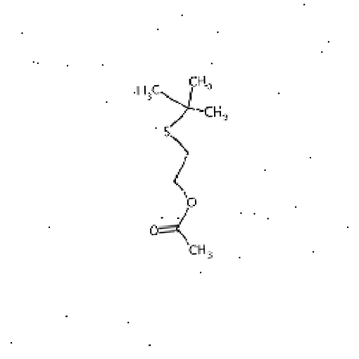 CC(=O)OCCSC(C)(C)C